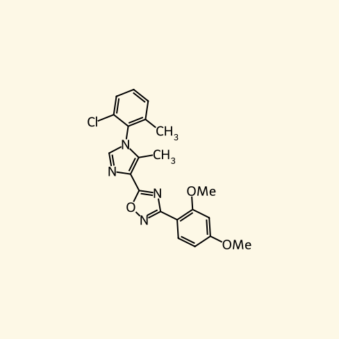 COc1ccc(-c2noc(-c3ncn(-c4c(C)cccc4Cl)c3C)n2)c(OC)c1